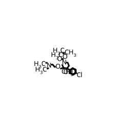 CCN(CC)CCOCC1(C)CN(C(=O)OC(C)(C)C)CCC1(O)c1ccc(Cl)cc1